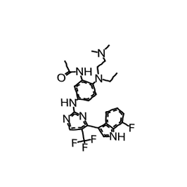 CCN(CCN(C)C)c1ccc(Nc2ncc(C(F)(F)F)c(-c3c[nH]c4c(F)cccc34)n2)cc1NC(C)=O